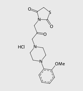 COc1ccccc1N1CCN(CC(=O)CN2C(=O)CSC2=O)CC1.Cl